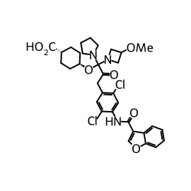 COC1CN(C(O[C@H]2CC[C@H](C(=O)O)CC2)(C(=O)Cc2cc(Cl)c(NC(=O)c3coc4ccccc34)cc2Cl)N2CCCC2)C1